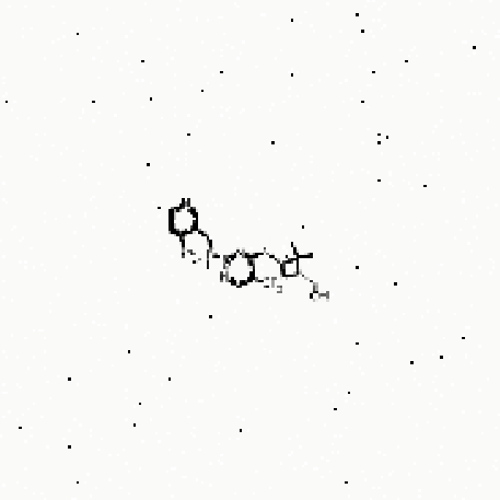 CC1(C)[C@H](CO)C[C@H]1Nc1nc(NCc2cnccc2C(F)(F)F)ncc1C(F)(F)F